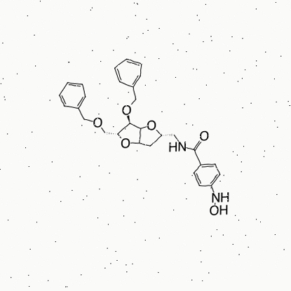 O=C(NC[C@@H]1CC2O[C@H](COCc3ccccc3)[C@@H](OCc3ccccc3)C2O1)c1ccc(NO)cc1